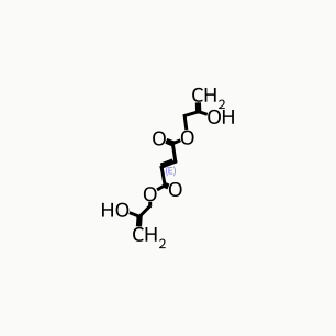 C=C(O)COC(=O)/C=C/C(=O)OCC(=C)O